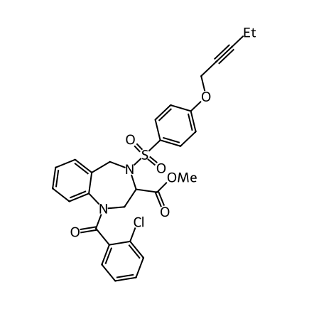 CCC#CCOc1ccc(S(=O)(=O)N2Cc3ccccc3N(C(=O)c3ccccc3Cl)CC2C(=O)OC)cc1